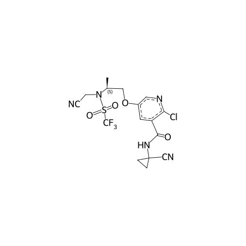 C[C@@H](COc1cnc(Cl)c(C(=O)NC2(C#N)CC2)c1)N(CC#N)S(=O)(=O)C(F)(F)F